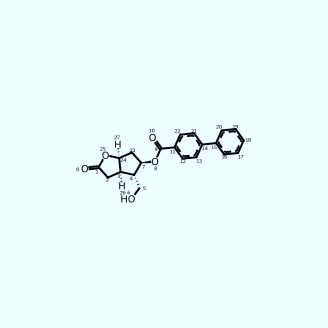 O=C1C[C@@H]2[C@@H](CO)[C@H](OC(=O)c3ccc(-c4ccccc4)cc3)C[C@@H]2O1